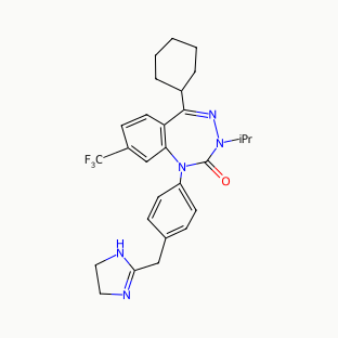 CC(C)N1N=C(C2CCCCC2)c2ccc(C(F)(F)F)cc2N(c2ccc(CC3=NCCN3)cc2)C1=O